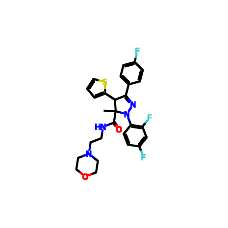 CC1(C(=O)NCCN2CCOCC2)C(c2cccs2)C(c2ccc(F)cc2)=NN1c1ccc(F)cc1F